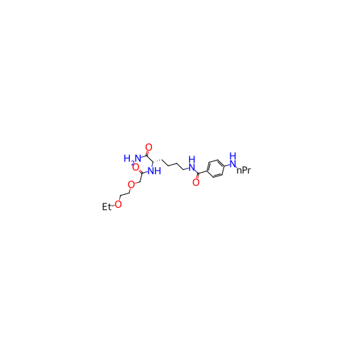 CCCNc1ccc(C(=O)NCCCC[C@H](NC(=O)COCCOCC)C(N)=O)cc1